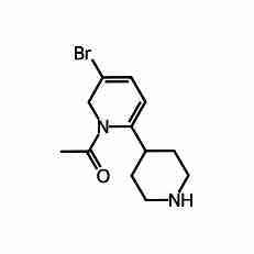 CC(=O)N1CC(Br)=CC=C1C1CCNCC1